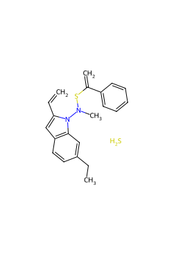 C=Cc1cc2ccc(CC)cc2n1N(C)SC(=C)c1ccccc1.S